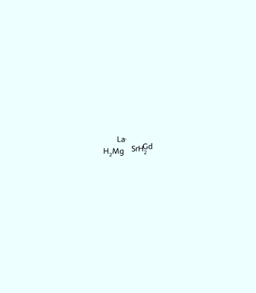 [Gd].[La].[MgH2].[SrH2]